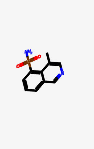 Cc1cncc2cccc(S(N)(=O)=O)c12